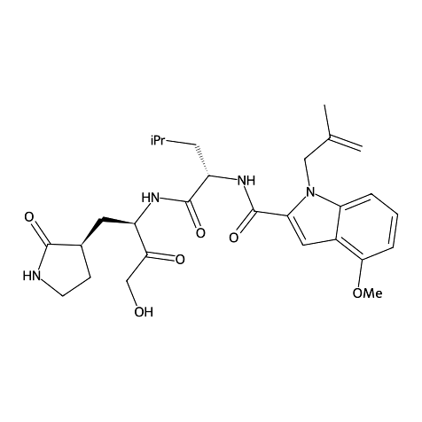 C=C(C)Cn1c(C(=O)N[C@@H](CC(C)C)C(=O)N[C@H](C[C@H]2CCNC2=O)C(=O)CO)cc2c(OC)cccc21